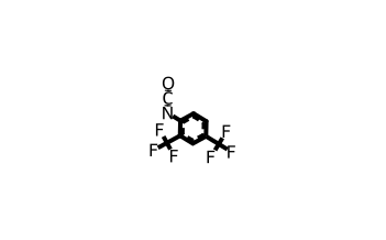 O=C=Nc1ccc(C(F)(F)F)cc1C(F)(F)F